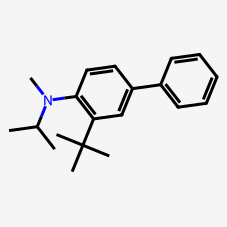 CC(C)N(C)c1ccc(-c2ccccc2)cc1C(C)(C)C